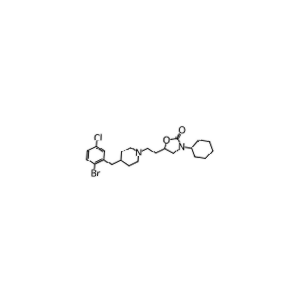 O=C1OC(CCN2CCC(Cc3cc(Cl)ccc3Br)CC2)CN1C1CCCCC1